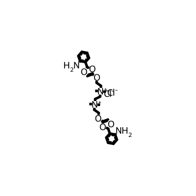 C[N+](C)(CCOC1=COC(c2ccccc2N)O1)CC[N+](C)(C)CCOC1=COC(c2ccccc2N)O1.[Cl-].[Cl-]